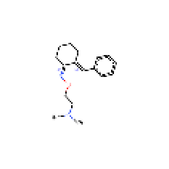 CC(C)N(CCO/N=C1/CCCC/C1=C\c1ccccc1)C(C)C